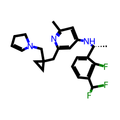 Cc1cc(N[C@H](C)c2cccc(C(F)F)c2F)cc(CC2(CN3C=CCC3)CC2)n1